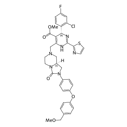 COCc1ccc(Oc2ccc(N3C[C@@H]4CN(CC5=C(C(=O)OC)[C@H](c6ccc(F)cc6Cl)N=C(c6nccs6)N5)CCN4C3=O)cc2)cc1